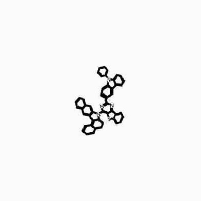 c1ccc(-n2c3ccccc3c3cc(-c4nc(-n5c6cc7ccccc7cc6c6c7ccccc7ccc65)c5sc6ccccc6c5n4)ccc32)cc1